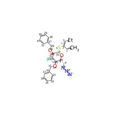 C=C/C(=C\CC)S[C@@H]1O[C@H](CN=[N+]=[N-])[C@@H](OCc2ccccc2)[C@H](F)[C@H]1OCc1ccccc1